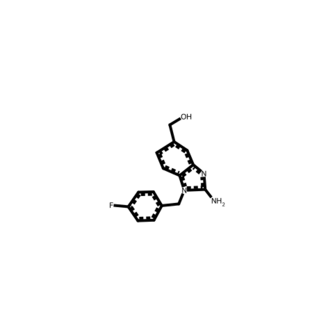 Nc1nc2cc(CO)ccc2n1Cc1ccc(F)cc1